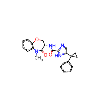 CN1C(=O)[C@@H](NC(=O)c2ncc(C3(c4ccccc4)CC3)[nH]2)COc2ccccc21